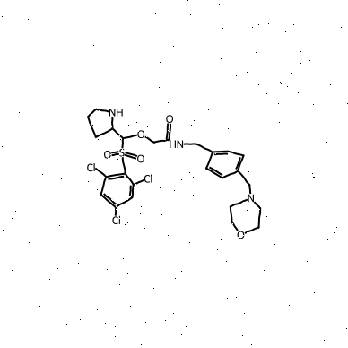 O=C(COC(C1CCCN1)S(=O)(=O)c1c(Cl)cc(Cl)cc1Cl)NCc1ccc(CN2CCOCC2)cc1